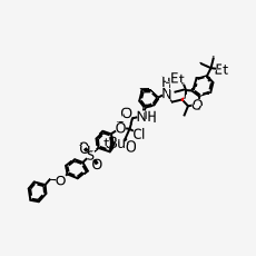 CCC(C)(C)c1ccc(OC(C)CCNc2cccc(NC(=O)C(Cl)(Oc3ccc(S(=O)(=O)c4ccc(OCc5ccccc5)cc4)cc3)C(=O)C(C)(C)C)c2)c(C(C)(C)CC)c1